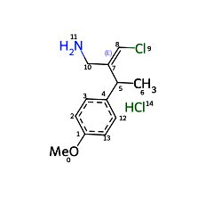 COc1ccc(C(C)/C(=C\Cl)CN)cc1.Cl